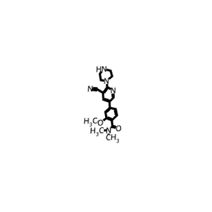 COc1cc(-c2cnc(N3CCNCC3)c(C#N)c2)ccc1C(=O)N(C)C